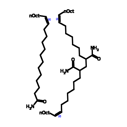 CCCCCCCC/C=C\CCCCCCC(CC(CCCCCC/C=C\CCCCCCCC)C(N)=O)C(N)=O.CCCCCCCC/C=C\CCCCCCCCCCCC(N)=O